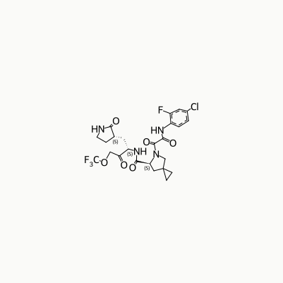 O=C(Nc1ccc(Cl)cc1F)C(=O)N1CC2(CC2)C[C@H]1C(=O)N[C@@H](C[C@@H]1CCNC1=O)C(=O)COC(F)(F)F